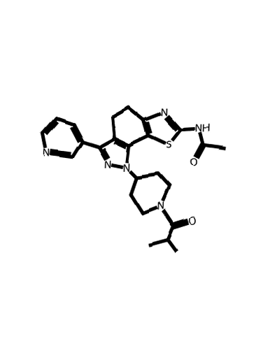 CC(=O)Nc1nc2c(s1)-c1c(c(-c3cccnc3)nn1C1CCN(C(=O)C(C)C)CC1)CC2